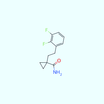 NC(=O)C1(CCc2cccc(F)c2F)CC1